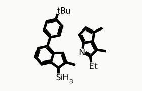 CC1=Cc2c(-c3ccc(C(C)(C)C)cc3)cccc2C1[SiH3].CCC1=NC2=CC=C(C)C2=C1C